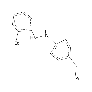 CCc1ccccc1NNc1ccc(CC(C)C)cc1